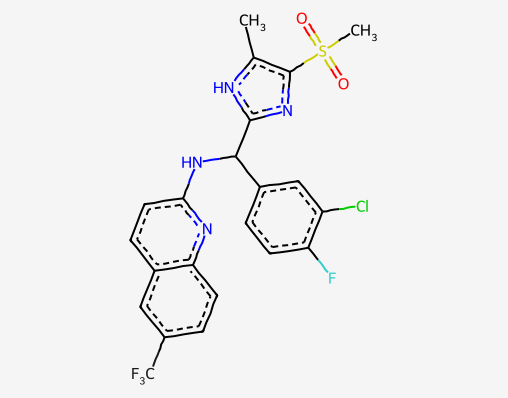 Cc1[nH]c(C(Nc2ccc3cc(C(F)(F)F)ccc3n2)c2ccc(F)c(Cl)c2)nc1S(C)(=O)=O